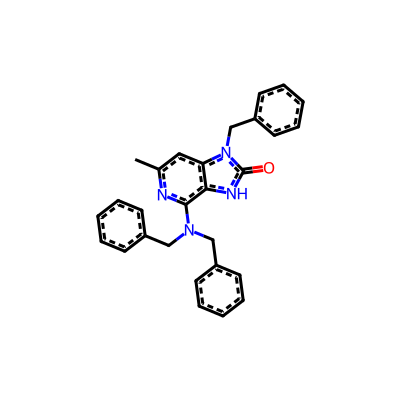 Cc1cc2c([nH]c(=O)n2Cc2ccccc2)c(N(Cc2ccccc2)Cc2ccccc2)n1